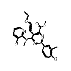 CCOC=Cc1c(C(=O)OC)nc(-c2ccc(Cl)c(F)c2)nc1N(C)c1ncccc1Cl